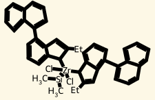 CCC1=Cc2c(-c3cccc4ccccc34)cccc2[CH]1[Zr]([Cl])([Cl])([CH]1C(CC)=Cc2c(-c3cccc4ccccc34)cccc21)=[Si](C)C